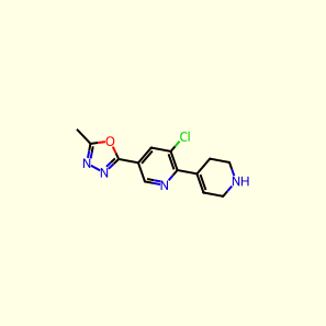 Cc1nnc(-c2cnc(C3=CCNCC3)c(Cl)c2)o1